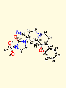 CS(=O)(=O)N1CCN([C@]2(C#N)CCN3CCc4c(oc5ccccc45)[C@H]3C2)C1=O